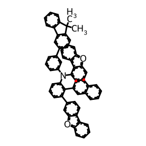 CC1(C)c2ccccc2-c2cc(-c3cccc(N(c4cccc(-c5ccc6c(c5)oc5ccccc56)c4-c4ccc5ccccc5c4)c4cccc5oc6ccccc6c45)c3)ccc21